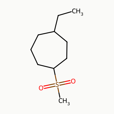 CCC1CCCC(S(C)(=O)=O)CC1